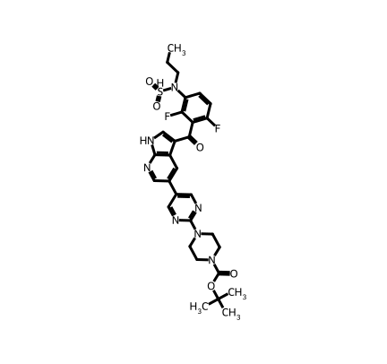 CCCN(c1ccc(F)c(C(=O)c2c[nH]c3ncc(-c4cnc(N5CCN(C(=O)OC(C)(C)C)CC5)nc4)cc23)c1F)[SH](=O)=O